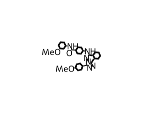 COc1ccc(-c2nnc3c4ccccc4c(Nc4ccc(C(=O)Nc5cccc(OC)c5)cc4)nn23)cc1